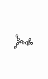 C1=CC2C=C(N(c3ccc(-c4ccccc4)cc3)c3ccc(-c4ccccc4)cc3)C=CC2C=C1c1ccc2c(ccc3c4ccccc4n(-c4ccccc4)c23)c1